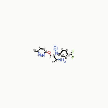 C/C(N)=C(\COc1ccc(C)nn1)N(N)c1ccc(C(F)F)cc1